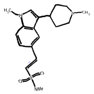 CNS(=O)(=O)/C=C/c1ccc2c(c1)c(C1CCN(C)CC1)cn2C